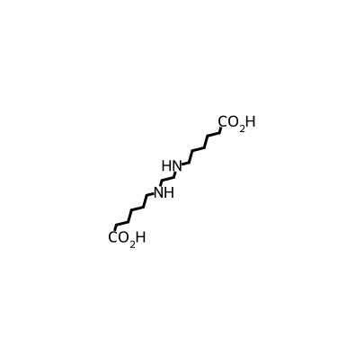 O=C(O)CCCCCNCCNCCCCCC(=O)O